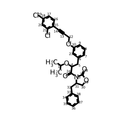 CC(C)OC(Cc1cccc(OCC#Cc2ccc(Cl)cc2Cl)c1)C(=O)N1C(=O)OCC1Cc1ccccc1